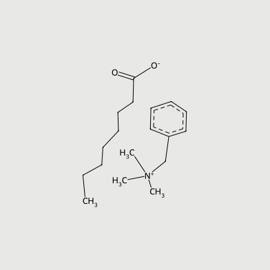 CCCCCCCC(=O)[O-].C[N+](C)(C)Cc1ccccc1